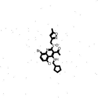 CC(=O)c1c([S+]([O-])Cc2cc(C)on2)nc2c(Br)ccc(Cl)c2c1NCC1CCCC1